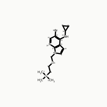 C[Si](C)(C)CCOCn1ccc2c(NC3CC3)c(Br)cnc21